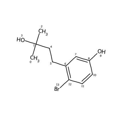 CC(C)(O)CCc1cc(O)ccc1Br